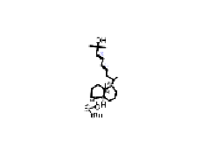 CC(C/C=C/C=C/C(C)(C)O)[C@H]1CCC[C@H]2[C@@H](O[Si](C)(C)C(C)(C)C)CCC[C@]12C